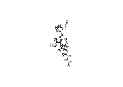 C#CCn1nnnc1SCC1=C(C(=O)O)N2C(=O)C(NC(=S)CCC=C)[C@@H]2SC1